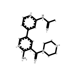 CC(=O)Nc1cc(-c2cnc(N)c(C(=O)N3CCOCC3)c2)ccn1